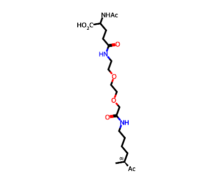 CC(=O)NC(CCC(=O)NCCOCCOCC(=O)NCCCC[C@H](C)C(C)=O)C(=O)O